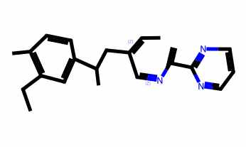 C=C(/N=C\C(=C/C)CC(C)c1ccc(C)c(CC)c1)c1ncccn1